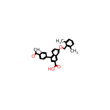 CC(=O)c1ccc(-c2cc(C(=O)O)cc3cc(OCc4c(C)cccc4C)ccc23)cc1